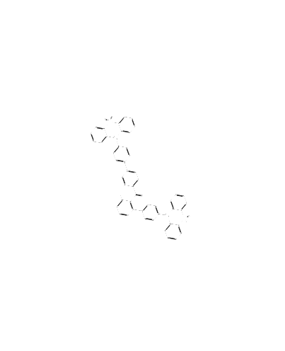 O=c1c2ccc(-c3ccc(N4c5ccccc5S(=O)(=O)c5ccccc54)cc3)cc2sc2cccc(-c3ccc(N4c5ccccc5S(=O)(=O)c5ccccc54)cc3)c12